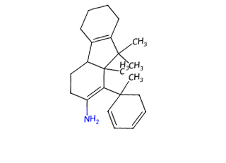 CC1(C2=C(N)CCC3C4=C(CCCC4)C(C)(C)C23C)C=CC=CC1